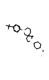 [C-]#[N+]C[C@H]1CC[C@H](N2CCC3(CCCN(c4ccc(C(F)(F)F)cc4)C3)C2=O)CC1